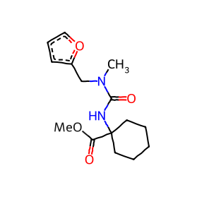 COC(=O)C1(NC(=O)N(C)Cc2ccco2)CCCCC1